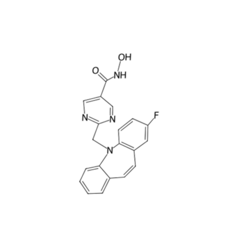 O=C(NO)c1cnc(CN2c3ccccc3C=Cc3cc(F)ccc32)nc1